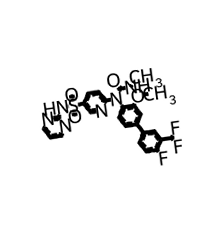 CNC(=O)N(c1ccc(S(=O)(=O)Nc2ncccn2)cn1)c1ccc(-c2ccc(F)c(C(F)F)c2)cc1OC